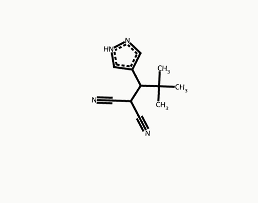 CC(C)(C)C(c1cn[nH]c1)C(C#N)C#N